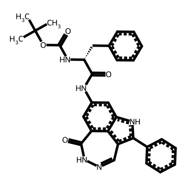 CC(C)(C)OC(=O)N[C@H](Cc1ccccc1)C(=O)Nc1cc2c3c(c(-c4ccccc4)[nH]c3c1)C=NNC2=O